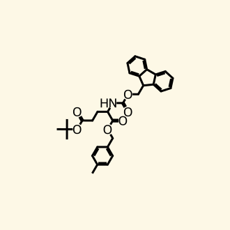 Cc1ccc(COC(=O)C(CCC(=O)OC(C)(C)C)NC(=O)OCC2c3ccccc3-c3ccccc32)cc1